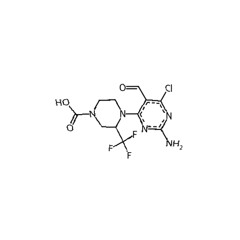 Nc1nc(Cl)c(C=O)c(N2CCN(C(=O)O)CC2C(F)(F)F)n1